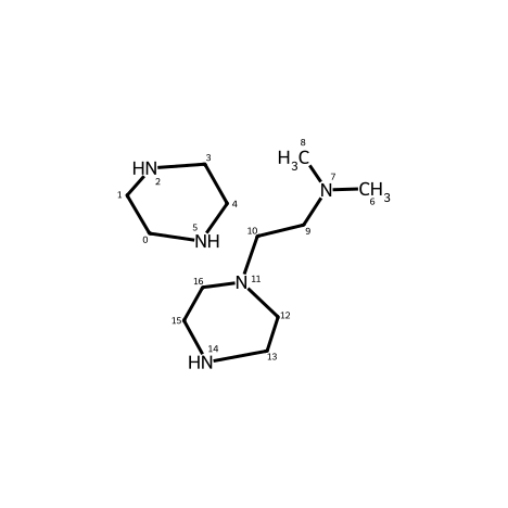 C1CNCCN1.CN(C)CCN1CCNCC1